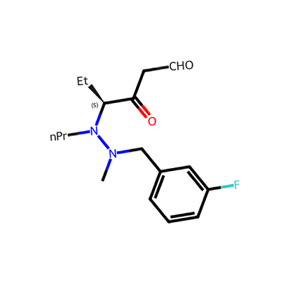 CCCN([C@@H](CC)C(=O)CC=O)N(C)Cc1cccc(F)c1